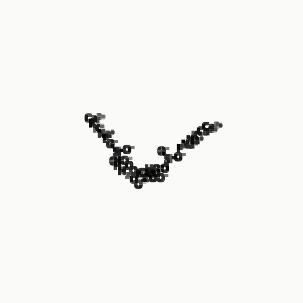 O.O.O.O=C([O-])[O-].O=C([O-])[O-].O=[Si]([O-])[O-].O=[Si]([O-])[O-].[Ca+2].[Ca+2].[Ca+2].[F-].[F-].[K+].[K+].[K+].[Na+].[Na+].[Na+].[OH-].[OH-]